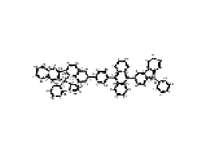 C1=Cc2c(c3cc(-c4c5ccccc5c(-c5ccc(-c6ccc7c8c(ccc7c6)-c6cc7ccccc7cc6C86c7ccccc7-c7ccccc76)cc5)c5ccccc45)ccc3n2-c2ccccc2)CC1